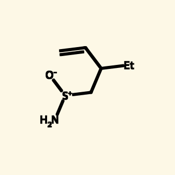 C=CC(CC)C[S+](N)[O-]